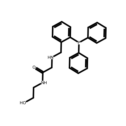 O=C(CNCc1ccccc1P(c1ccccc1)c1ccccc1)NCCO